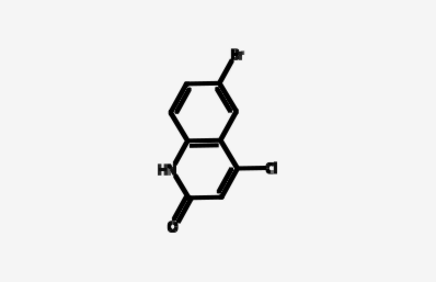 O=c1cc(Cl)c2cc(Br)ccc2[nH]1